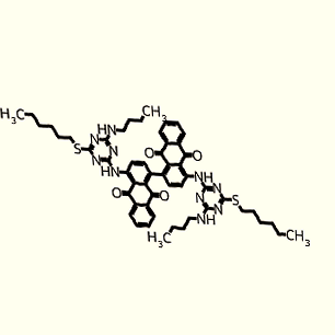 CCCCCCSc1nc(NCCCC)nc(Nc2ccc(-c3ccc(Nc4nc(NCCCC)nc(SCCCCCC)n4)c4c3C(=O)c3ccccc3C4=O)c3c2C(=O)c2ccccc2C3=O)n1